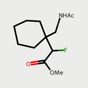 COC(=O)C(F)C1(CNC(C)=O)CCCCC1